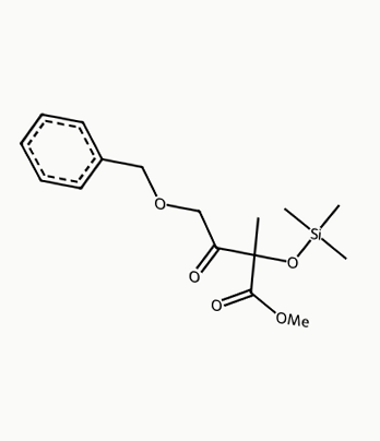 COC(=O)C(C)(O[Si](C)(C)C)C(=O)COCc1ccccc1